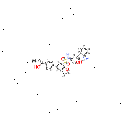 CNC(O)c1ccc(-c2cc3c(c(S(=O)(=O)N[C@@H](CO)Cc4c[nH]c5ccccc45)c2)OCC3)cc1